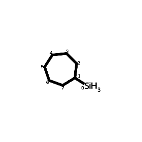 [SiH3]C1CCCCCC1